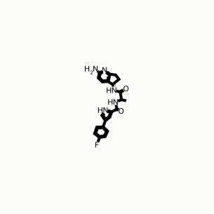 CC(NC(=O)c1cc(-c2ccc(F)cc2)c[nH]1)C(=O)N[C@H]1CCc2nc(N)ccc21